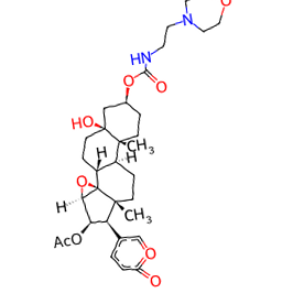 CC(=O)O[C@H]1[C@H]2O[C@]23[C@@H]2CC[C@]4(O)C[C@@H](OC(=O)NCCN5CCOCC5)CC[C@]4(C)[C@H]2CC[C@]3(C)[C@H]1c1ccc(=O)oc1